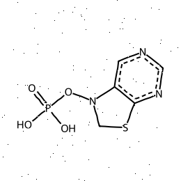 O=P(O)(O)ON1CSc2ncncc21